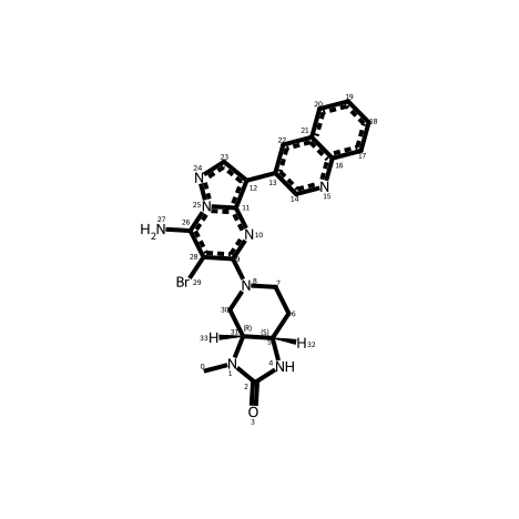 CN1C(=O)N[C@H]2CCN(c3nc4c(-c5cnc6ccccc6c5)cnn4c(N)c3Br)C[C@H]21